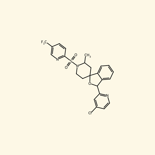 CC1CC2(CCN1S(=O)(=O)c1ccc(C(F)(F)F)cn1)OC(c1cc(Cl)ccn1)c1ccccc12